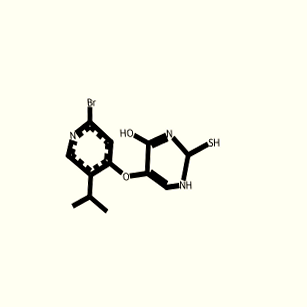 CC(C)c1cnc(Br)cc1OC1=CNC(S)N=C1O